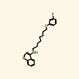 Fc1cccc(OCCCCCCCCNc2ccnc3ccccc23)c1